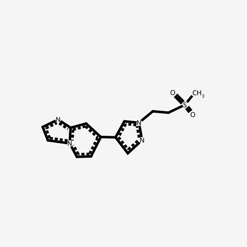 CS(=O)(=O)CCn1cc(-c2ccn3ccnc3c2)cn1